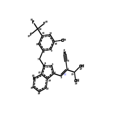 N#C/C(=C\c1cn(Cc2cc(Cl)cc(C(F)(F)F)c2)c2ncccc12)C(O)O